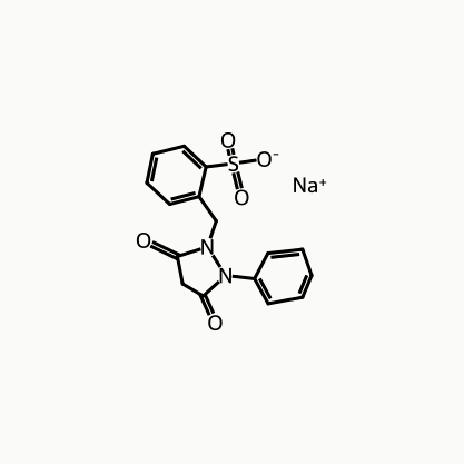 O=C1CC(=O)N(c2ccccc2)N1Cc1ccccc1S(=O)(=O)[O-].[Na+]